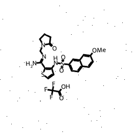 COc1ccc2ccc(S(=O)(=O)Nc3ccsc3C(N)=NCN3CCCC3=O)cc2c1.O=C(O)C(F)(F)F